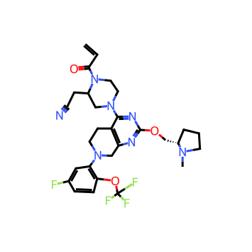 C=CC(=O)N1CCN(c2nc(OC[C@@H]3CCCN3C)nc3c2CCN(c2cc(F)ccc2OC(F)(F)F)C3)CC1CC#N